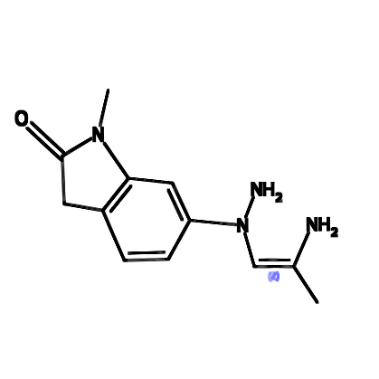 C/C(N)=C/N(N)c1ccc2c(c1)N(C)C(=O)C2